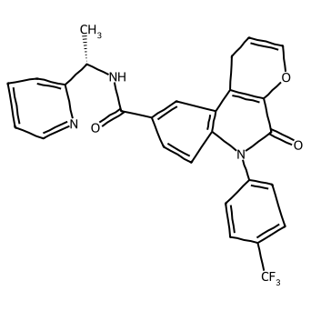 C[C@H](NC(=O)c1ccc2c(c1)c1c(c(=O)n2-c2ccc(C(F)(F)F)cc2)OC=CC1)c1ccccn1